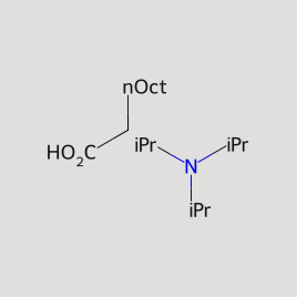 CC(C)N(C(C)C)C(C)C.CCCCCCCCCC(=O)O